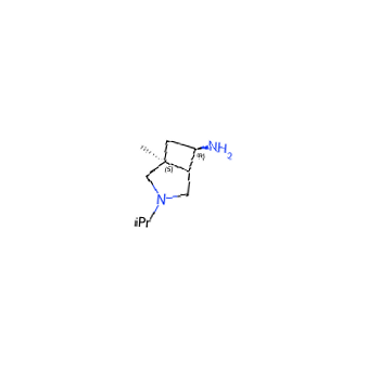 CC(C)N1CC2[C@H](N)C[C@]2(C)C1